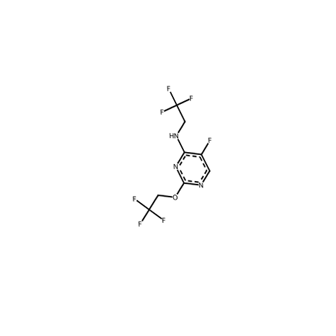 Fc1cnc(OCC(F)(F)F)nc1NCC(F)(F)F